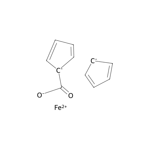 O=C([O-])[c-]1cccc1.[Fe+2].c1cc[cH-]c1